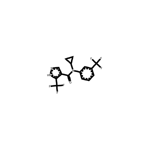 O=C(c1cn[nH]c1C(F)(F)F)N(c1cccc(C(F)(F)F)c1)C1CC1